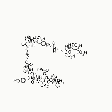 CCCC(=O)OCN(C(=O)[C@@H](NC(=O)[C@H]1CCCCN1C)C(C)CC)[C@H](C[C@@H](OC(C)=O)c1nc(C(=O)N[C@@H](Cc2ccc(O)cc2)C[C@H](C)C(=O)NNC(=O)OCCSSCCNC(=O)[C@H](CC(=O)O)NC(=O)[C@H](CC(=O)O)NC(=O)Cc2ccc(CNC(=O)NCCCC[C@@H](NC(=O)N[C@@H](CCC(=O)O)C(=O)O)C(=O)O)cc2)cs1)C(C)C